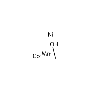 CO.[Co].[Mn].[Ni]